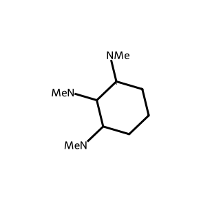 CN[C]1CCCC(NC)C1NC